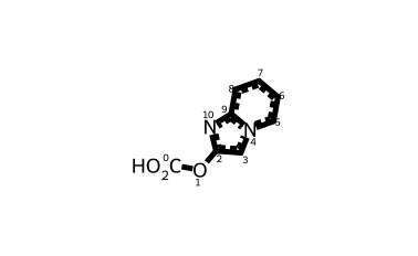 O=C(O)Oc1cn2ccccc2n1